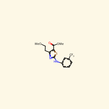 COCCc1nc(Nc2cccc(C(F)(F)F)c2)sc1C(=O)OC